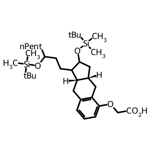 CCCCCC(CCC1C(O[Si](C)(C)C(C)(C)C)C[C@@H]2Cc3c(cccc3OCC(=O)O)C[C@H]12)O[Si](C)(C)C(C)(C)C